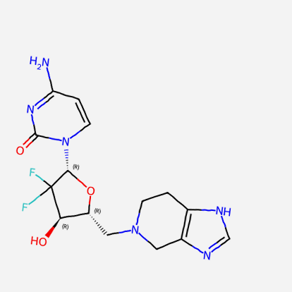 Nc1ccn([C@@H]2O[C@H](CN3CCc4[nH]cnc4C3)[C@@H](O)C2(F)F)c(=O)n1